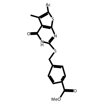 COC(=O)c1ccc(CSc2nc3sc(C(C)=O)c(C)c3c(=O)[nH]2)cc1